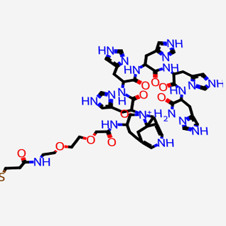 NC(=O)C(Cc1c[nH]cn1)NC(=O)C(Cc1c[nH]cn1)NC(=O)C(Cc1c[nH]cn1)NC(=O)C(Cc1c[nH]cn1)NC(=O)C(Cc1c[nH]cn1)[N+]12C(=O)C(NC(=O)COCCOCCNC(=O)CCS)CC3=CNC=C4C1C42C3